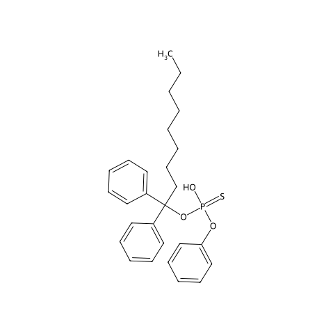 CCCCCCCCC(OP(O)(=S)Oc1ccccc1)(c1ccccc1)c1ccccc1